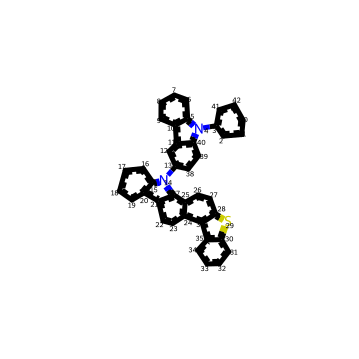 c1ccc(-n2c3ccccc3c3cc(-n4c5ccccc5c5ccc6c(ccc7sc8ccccc8c76)c54)ccc32)cc1